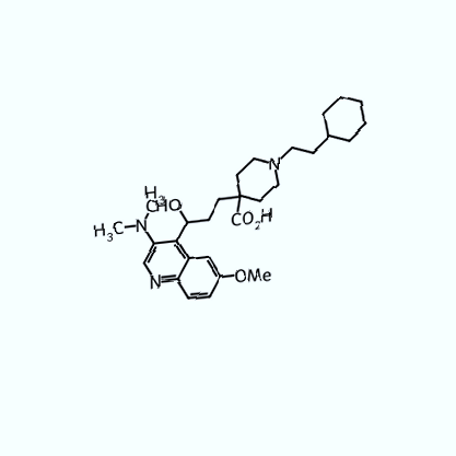 COc1ccc2ncc(N(C)C)c(C(O)CCC3(C(=O)O)CCN(CCC4CCCCC4)CC3)c2c1